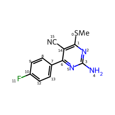 CSc1nc(N)nc(-c2ccc(F)cc2)c1C#N